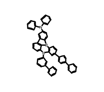 c1ccc(-c2ccc(-c3ccc4c(c3)N(c3cccc(-c5ccccc5)c3)c3cccc5c3B4c3ccc(N(c4ccccc4)c4ccccc4)cc3-5)cc2)cc1